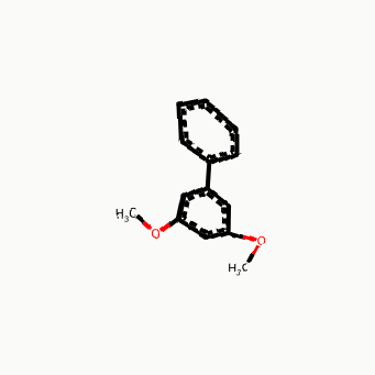 COc1cc(OC)cc(-c2[c]cccc2)c1